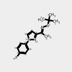 CC(=NSC(C)(C)C)c1ccn(-c2ccc(F)cc2)n1